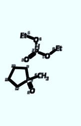 CCO[PH](=O)OCC.CP1(=O)CCCC1